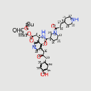 CC(C)(C)OC(=O)CC(NC(=O)[C@@H]1CCCN(C(=O)CCC2CCNCC2)C1)c1cncc(CC(=O)Cc2ccc(O)cc2)c1.CC(C)(C)OC=O